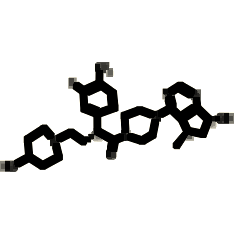 C[C@@H]1C[C@@H](O)c2ncnc(N3CCN(C(=O)[C@H](CCN4CCC(O)CC4)c4ccc(C(F)(F)F)c(F)c4)CC3)c21